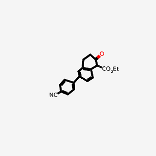 CCOC(=O)C1C(=O)CCc2cc(-c3ccc(C#N)cc3)ccc21